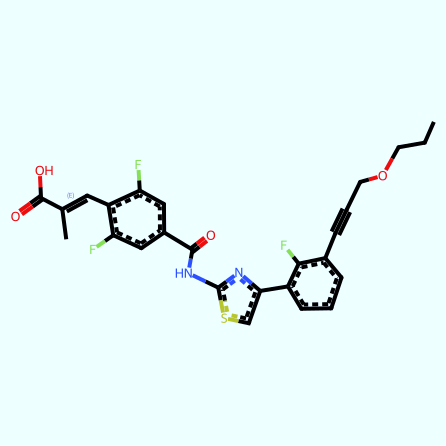 CCCOCC#Cc1cccc(-c2csc(NC(=O)c3cc(F)c(/C=C(\C)C(=O)O)c(F)c3)n2)c1F